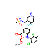 CCOCOC(=O)c1ccccc1Nc1c(Cl)ccc(C)c1Cl.CS(=O)(=O)NCC1CNCCC1(F)F